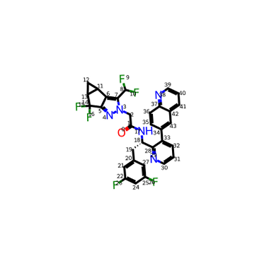 O=C(Cn1nc2c(c1C(F)F)C1CC1C2(F)F)N[C@@H](Cc1cc(F)cc(F)c1)c1ncccc1-c1ccc2ncccc2c1